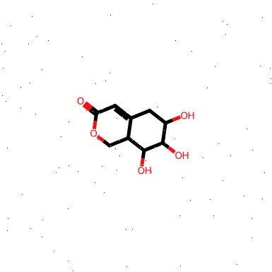 O=C1C=C2CC(O)C(O)C(O)C2CO1